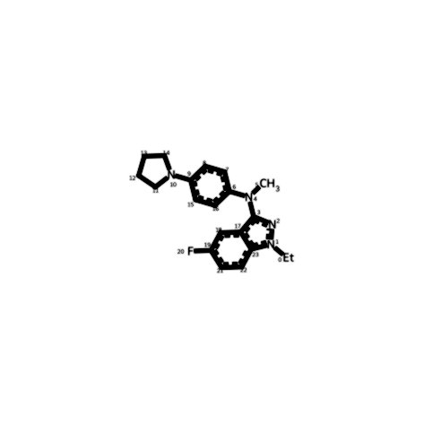 CCn1nc(N(C)c2ccc(N3CCCC3)cc2)c2cc(F)ccc21